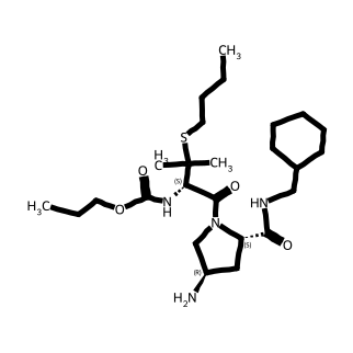 CCCCSC(C)(C)[C@@H](NC(=O)OCCC)C(=O)N1C[C@H](N)C[C@H]1C(=O)NCC1CCCCC1